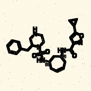 O=C(N[C@H]1CC=CC[C@H](NS(=O)(=O)N2CCNCC2Cc2ccccc2)C1)c1cc(C2CC2)on1